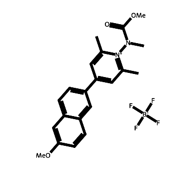 COC(=O)N(C)[n+]1c(C)cc(-c2ccc3cc(OC)ccc3c2)cc1C.F[B-](F)(F)F